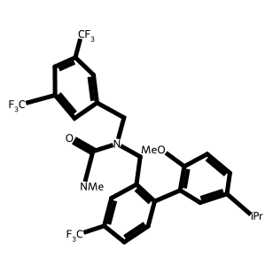 CNC(=O)N(Cc1cc(C(F)(F)F)cc(C(F)(F)F)c1)Cc1cc(C(F)(F)F)ccc1-c1cc(C(C)C)ccc1OC